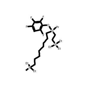 CC[Si](C)(CC)CCCCCCCC[Si](CC[Si](CC)(CC)CC)(Oc1c(F)[c]c(F)c(F)c1F)C(C)C